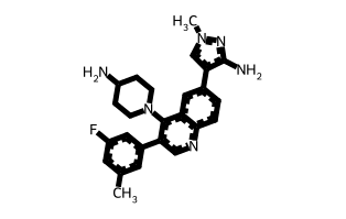 Cc1cc(F)cc(-c2cnc3ccc(-c4cn(C)nc4N)cc3c2N2CCC(N)CC2)c1